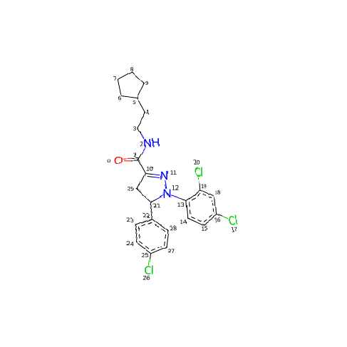 O=C(NCCC1CCCC1)C1=NN(c2ccc(Cl)cc2Cl)C(c2ccc(Cl)cc2)C1